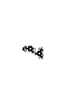 FC(F)(F)c1cc(CNCc2cccc(C3OCCO3)c2)cc(C(F)(F)F)c1